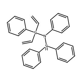 C=C[Si](C=C)(c1ccccc1)N(c1ccccc1)[SiH](c1ccccc1)c1ccccc1